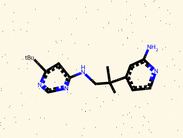 CC(C)(C)c1cc(NCC(C)(C)c2ccnc(N)c2)ncn1